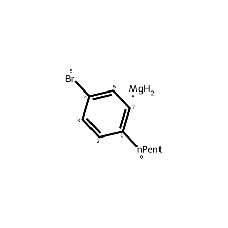 CCCCCc1ccc(Br)cc1.[MgH2]